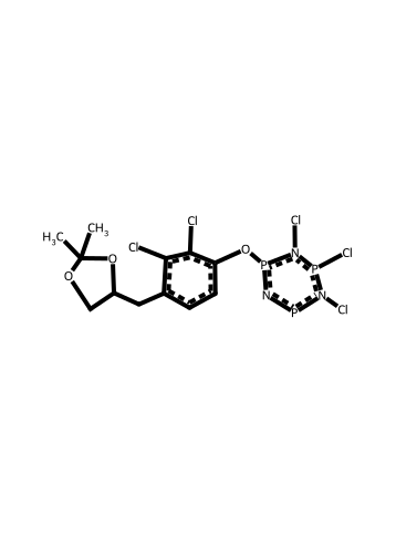 CC1(C)OCC(Cc2ccc(Op3npn(Cl)p(Cl)n3Cl)c(Cl)c2Cl)O1